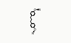 N#COc1ccc(CCCc2ccc(OC#N)cc2)cc1